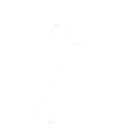 COC(OC)(C(=O)c1ccc(SCCCC(=O)ON)cc1)c1ccc(Cl)cc1